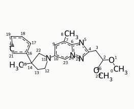 COC(Cc1nc2c(C)cc(N3CCC(C)(c4ccccc4)C3)cn2n1)OC